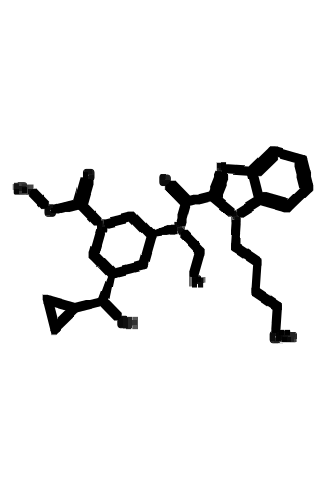 COCCCCn1c(C(=O)N(CC(C)C)[C@H]2C[C@@H](C(O)C3CC3)CN(C(=O)OC(C)(C)C)C2)nc2ccccc21